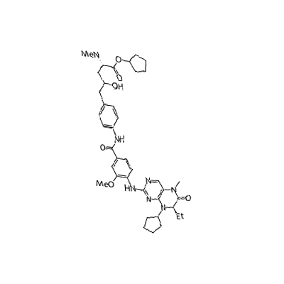 CC[C@@H]1C(=O)N(C)c2cnc(Nc3ccc(C(=O)Nc4ccc(CC(O)C[C@H](NC)C(=O)OC5CCCC5)cc4)cc3OC)nc2N1C1CCCC1